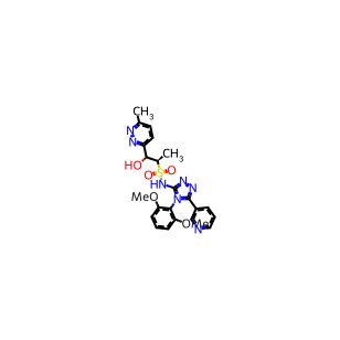 COc1cccc(OC)c1-n1c(NS(=O)(=O)[C@H](C)[C@@H](O)c2ccc(C)nn2)nnc1-c1cccnc1